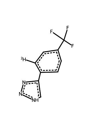 [2H]c1cc(C(F)(F)F)ccc1-c1c[nH]nn1